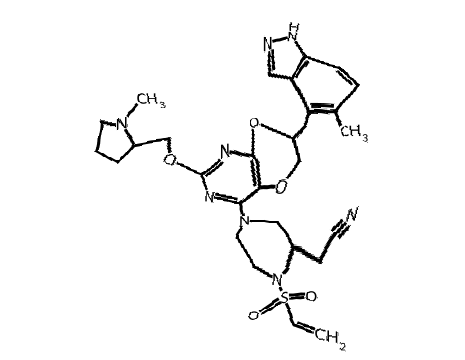 C=CS(=O)(=O)N1CCN(c2nc(OCC3CCCN3C)nc3c2OCC(c2c(C)ccc4[nH]ncc24)O3)CC1CC#N